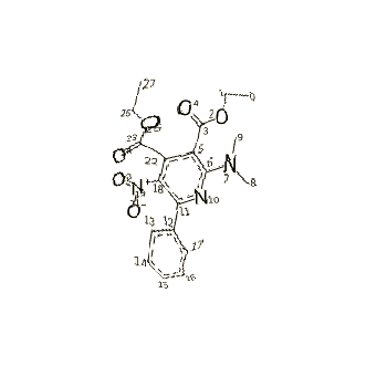 CCOC(=O)c1c(N(C)C)nc(-c2ccccc2)c([N+](=O)[O-])c1C(=O)OCC